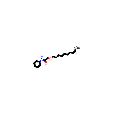 CCCC/C=C\CCCCCCCOCC(=O)Nc1ccccc1